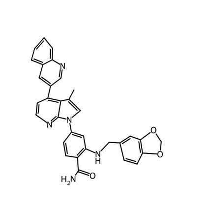 Cc1cn(-c2ccc(C(N)=O)c(NCc3ccc4c(c3)OCO4)c2)c2nccc(-c3cnc4ccccc4c3)c12